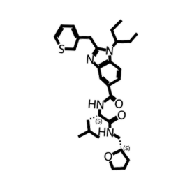 CCC(CC)n1c(CC2=CC=CSC2)nc2cc(C(=O)N[C@@H](CC(C)C)C(=O)NC[C@@H]3CCCO3)ccc21